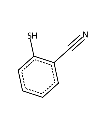 N#Cc1ccccc1S